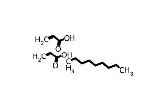 C=CC(=O)O.C=CC(=O)O.CCCCCCCCC